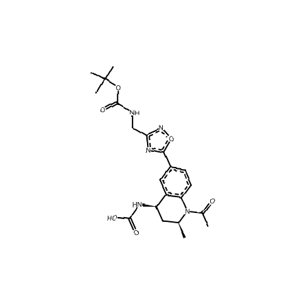 CC(=O)N1c2ccc(-c3nc(CNC(=O)OC(C)(C)C)no3)cc2[C@H](NC(=O)O)C[C@@H]1C